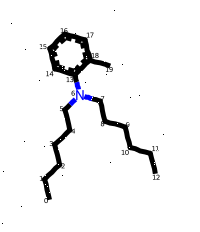 CCCCCCN(CCCCCC)c1ccccc1C